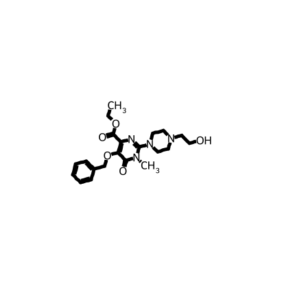 CCOC(=O)c1nc(N2CCN(CCO)CC2)n(C)c(=O)c1OCc1ccccc1